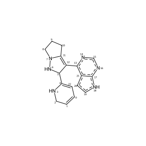 C1=CCNC(C2NN3CCCC3=C2c2ncnc3[nH]ccc23)=C1